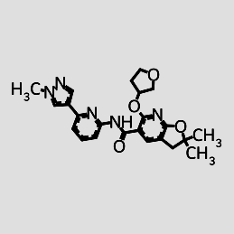 Cn1cc(-c2cccc(NC(=O)c3cc4c(nc3OC3CCOC3)OC(C)(C)C4)n2)cn1